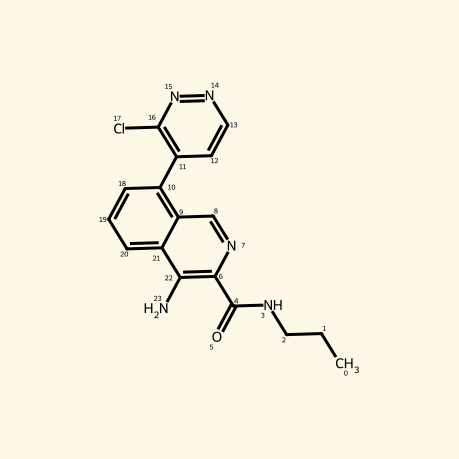 CCCNC(=O)c1ncc2c(-c3ccnnc3Cl)cccc2c1N